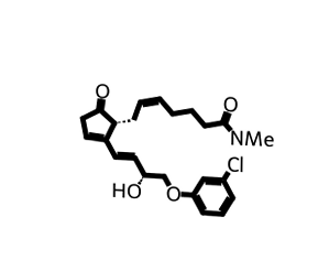 CNC(=O)CCC/C=C\C[C@H]1C(=O)CC=C1/C=C/[C@@H](O)COc1cccc(Cl)c1